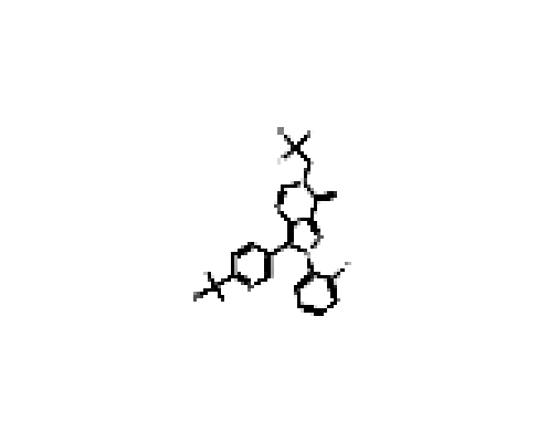 O=c1c2nn(-c3ccccc3Cl)c(-c3ccc(C(F)(F)F)nc3)c2ncn1CC(F)(F)F